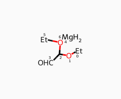 CCOC(C=O)OCC.[MgH2]